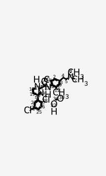 Cc1cc(CCN(C)C)cc(C)c1NC(=O)c1nccc(-c2cc(Cl)ccc2Cl)n1.O=CO